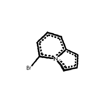 Brc1cccc2cccn12